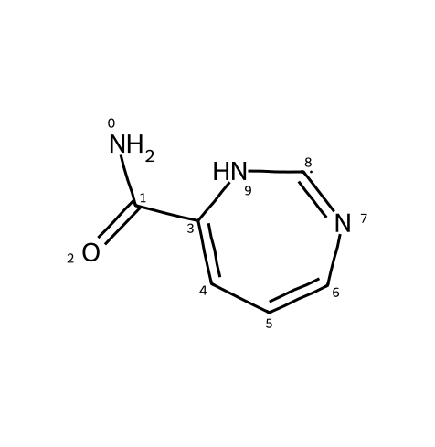 NC(=O)C1=CC=CN=[C]N1